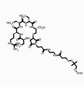 CC(C)(COC=O)SSCCC(=O)NCCNC(=O)CCN1C(=O)CC(SC[C@H](NC(=O)[C@H](CC(=O)O)NC(=O)[C@H](CC(=O)O)NC(=O)[C@H](CCCNC(=N)N)NC(=O)[C@@H](N)CC(=O)O)C(=O)O)C1=O